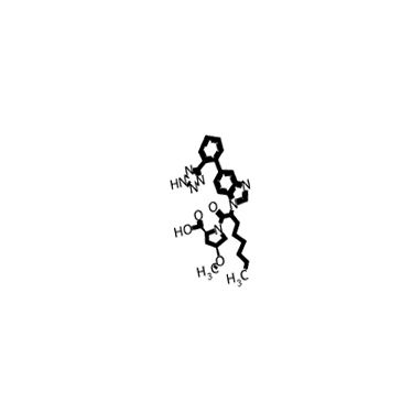 CCCCCCC(C(=O)N1C[C@@H](OC)C[C@H]1C(=O)O)n1cnc2cc(-c3ccccc3-c3nn[nH]n3)ccc21